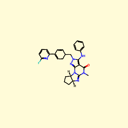 CN1C(=O)c2c(nn(CC3C=CC(c4cccc(F)n4)=CC3)c2Nc2ccccc2)N2C1=N[C@@H]1CCC[C@@H]12